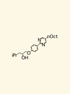 CCCCCCCCc1cnc(-c2ccc(OC[C@@H](O)CC(C)C)cc2)nc1